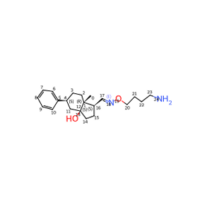 C[C@]12CC[C@H](c3ccccc3)C[C@@]1(O)CC[C@@H]2/C=N/OCCCCN